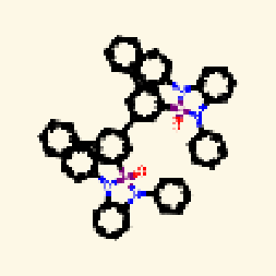 O=P1(c2cc(-c3ccccc3)cc(-c3cc(-c4ccccc4)cc(P4(=O)N(c5ccccc5)c5ccccc5N4c4ccccc4)c3)c2)N(c2ccccc2)c2ccccc2N1c1ccccc1